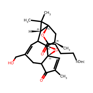 CCCCCCCCCCCCCC(=O)O[C@@]12C[C@@H](C)[C@]34O[C@]35C=C(C)C(=O)C5CC(CO)=CC4[C@@H]1C2(C)C